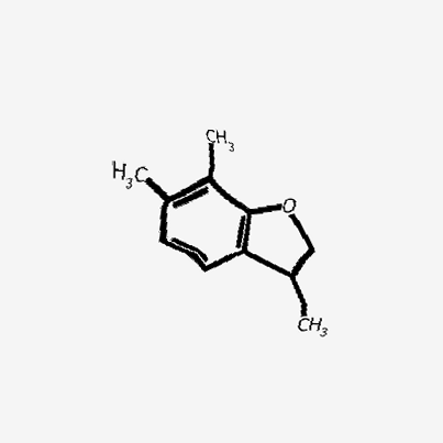 Cc1ccc2c(c1C)OCC2C